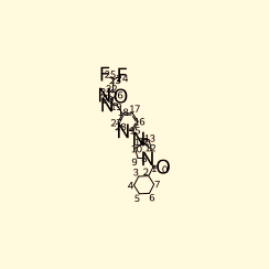 O=C(C1CCCCC1)N1CC2CC1CN2c1ccc(-c2nnc(C(F)F)o2)cn1